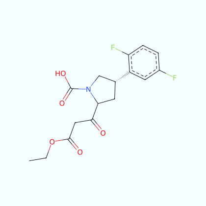 CCOC(=O)CC(=O)C1C[C@@H](c2cc(F)ccc2F)CN1C(=O)O